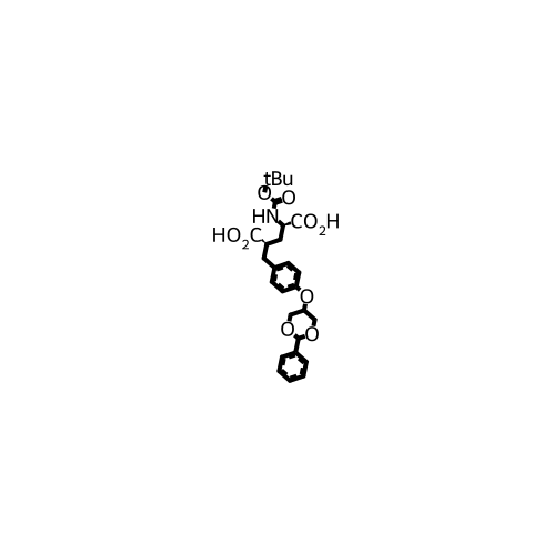 CC(C)(C)OC(=O)N[C@H](C[C@H](Cc1ccc(OC2COC(c3ccccc3)OC2)cc1)C(=O)O)C(=O)O